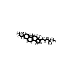 CC[C@]1(O)CC[C@H]2C(CCC3C2CCC2(C)C(CCCC(=O)OC)CCC32)C1